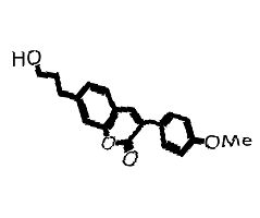 COc1ccc(-c2cc3ccc(CCCO)cc3oc2=O)cc1